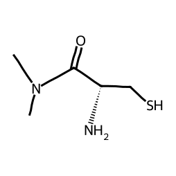 CN(C)C(=O)[C@@H](N)CS